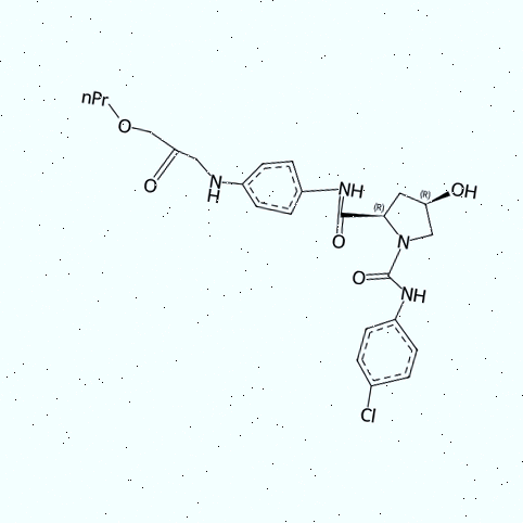 CCCOCC(=O)CNc1ccc(NC(=O)[C@H]2C[C@@H](O)CN2C(=O)Nc2ccc(Cl)cc2)cc1